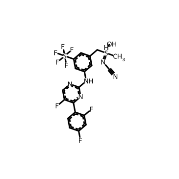 C[SH](O)(Cc1cc(Nc2ncc(F)c(-c3ccc(F)cc3F)n2)cc(S(F)(F)(F)(F)F)c1)=NC#N